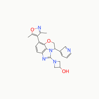 Cc1noc(C)c1-c1ccc2nc(N3CC(O)C3)n3c2c1OCC3c1cccnc1